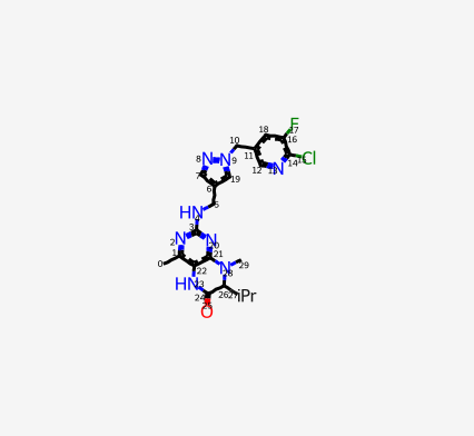 Cc1nc(NCc2cnn(Cc3cnc(Cl)c(F)c3)c2)nc2c1NC(=O)C(C(C)C)N2C